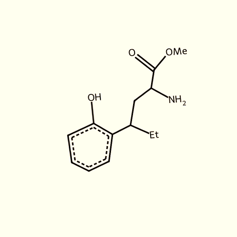 CCC(CC(N)C(=O)OC)c1ccccc1O